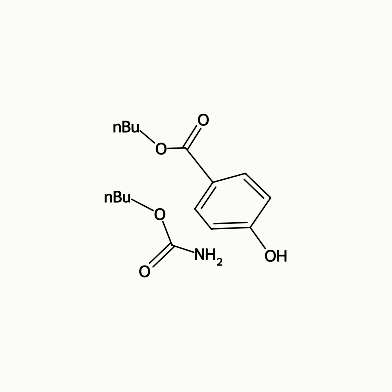 CCCCOC(=O)c1ccc(O)cc1.CCCCOC(N)=O